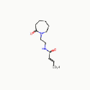 O=C(O)C=CC(=O)NCCN1CCCCCC1=O